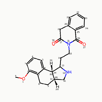 COc1cccc2c1CC[C@H]1CNC(CCN3C(=O)Cc4ccccc4C3=O)[C@@H]21